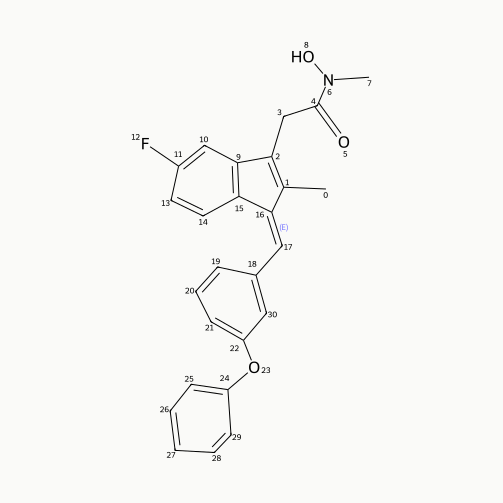 CC1=C(CC(=O)N(C)O)c2cc(F)ccc2/C1=C\c1cccc(Oc2ccccc2)c1